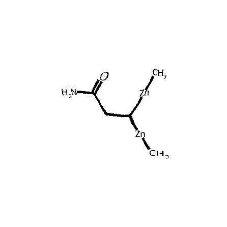 [CH3][Zn][CH](CC(N)=O)[Zn][CH3]